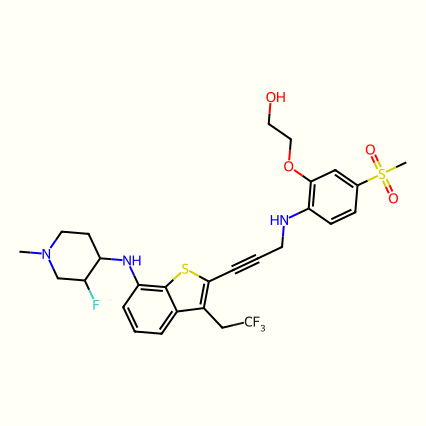 CN1CCC(Nc2cccc3c(CC(F)(F)F)c(C#CCNc4ccc(S(C)(=O)=O)cc4OCCO)sc23)C(F)C1